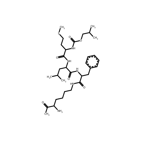 CSCCC(NC(=O)OCC(C)C)C(=O)NC(CC(C)C)C(=O)NC(Cc1ccccc1)C(=O)NCCCCC(N)C(C)=O